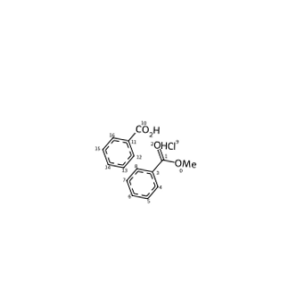 COC(=O)c1ccccc1.Cl.O=C(O)c1ccccc1